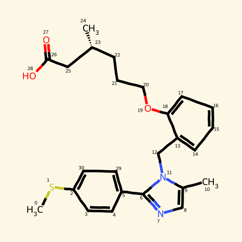 CSc1ccc(-c2ncc(C)n2Cc2ccccc2OCCC[C@@H](C)CC(=O)O)cc1